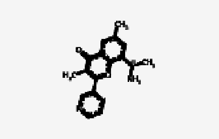 Cc1cc([C@@H](C)N)c2oc(-c3cnccn3)c(C)c(=O)c2c1